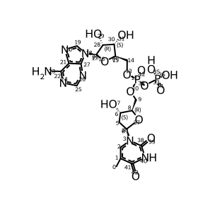 Cc1cn([C@H]2C[C@H](O)[C@@H](COP(=O)(OC[C@H]3O[C@@H](n4cnc5c(N)ncnc54)[C@H](O)[C@@H]3O)OP(=O)(O)O)O2)c(=O)[nH]c1=O